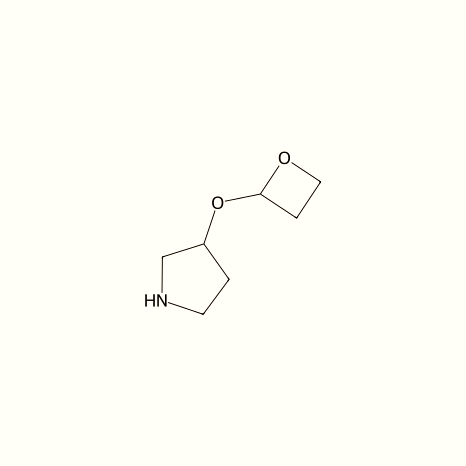 C1CC(OC2CCO2)CN1